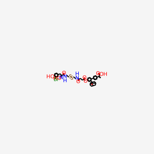 C=C(C(=O)O)c1ccc(-c2ccc(OC(=O)CCC(=O)NCCSSCCNC(=O)C(Cc3ccc(O)c(Br)c3)=NO)cc2C23CC4CC(CC(C4)C2)C3)cc1